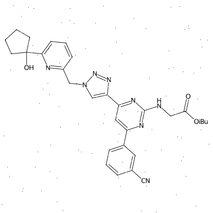 CC(C)COC(=O)CNc1nc(-c2cccc(C#N)c2)cc(-c2cn(Cc3cccc(C4(O)CCCC4)n3)nn2)n1